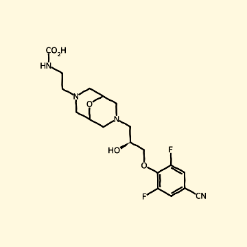 N#Cc1cc(F)c(OC[C@@H](O)CN2CC3CN(CCNC(=O)O)CC(C2)O3)c(F)c1